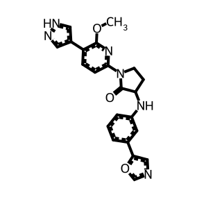 COc1nc(N2CCC(Nc3cccc(-c4cnco4)c3)C2=O)ccc1-c1cn[nH]c1